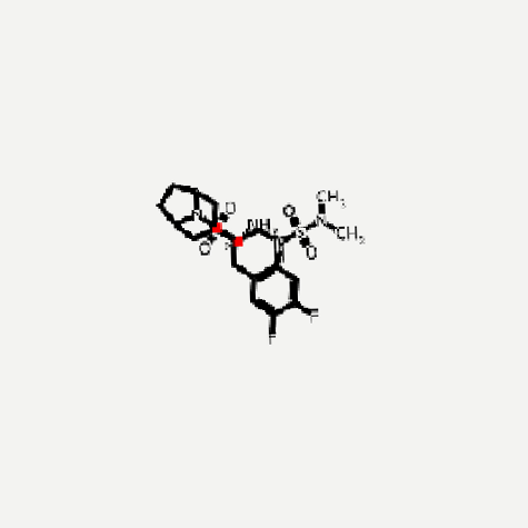 CN(C)S(=O)(=O)NCCS(=O)(=O)N1C2CCC1CC([C@H](N)Cc1cc(F)c(F)cc1F)C2